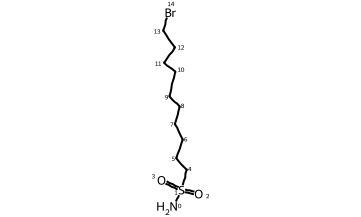 NS(=O)(=O)CCCCCCCCCCBr